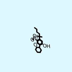 CCCCC(C)(C)c1cc(O)c2c(c1[N+](=O)[O-])OC1CCCCC21